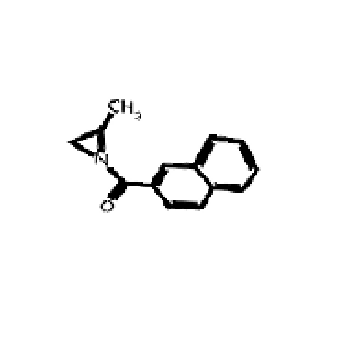 CC1CN1C(=O)c1ccc2ccccc2c1